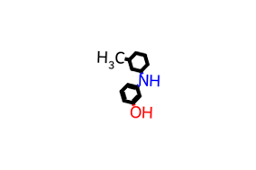 CC1CCCC(Nc2cccc(O)c2)C1